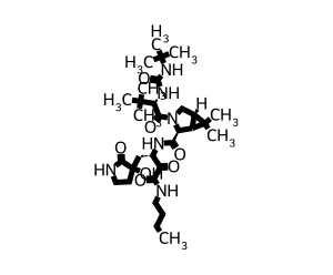 CCCCNC(=O)C(=O)[C@H](CC1(O)CCNC1=O)NC(=O)[C@@H]1C2[C@H](CN1C(=O)[C@@H](NC(=O)NC(C)(C)C)C(C)(C)C)C2(C)C